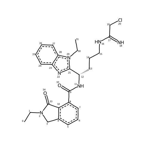 CCN1Cc2cccc(C(=O)N[C@@H](CCCNC(=N)CCl)c3nc4ccccc4n3CC)c2C1=O